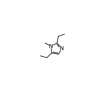 CCc1cnc(CC)n1C